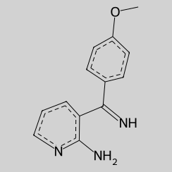 COc1ccc(C(=N)c2cccnc2N)cc1